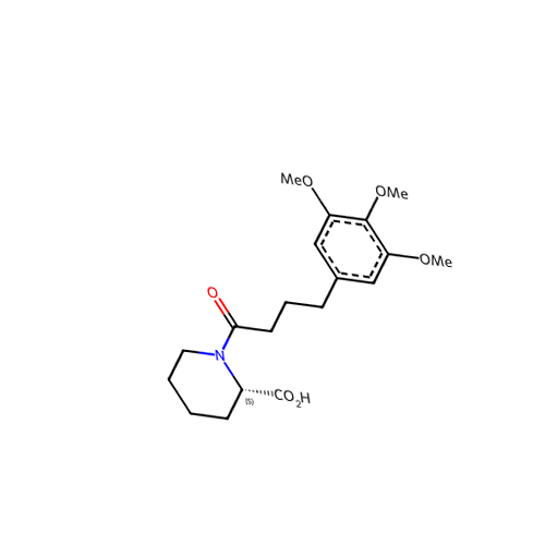 COc1cc(CCCC(=O)N2CCCC[C@H]2C(=O)O)cc(OC)c1OC